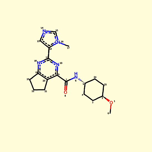 CO[C@H]1CC[C@H](NC(=O)c2nc(-c3cncn3C)nc3c2CCC3)CC1